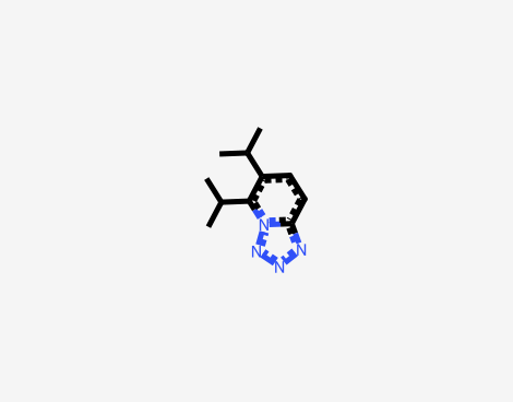 CC(C)c1ccc2nnnn2c1C(C)C